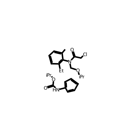 CC(C)OC(=O)Nc1ccccc1.CCc1cccc(C)c1N(COC(C)C)C(=O)CCl